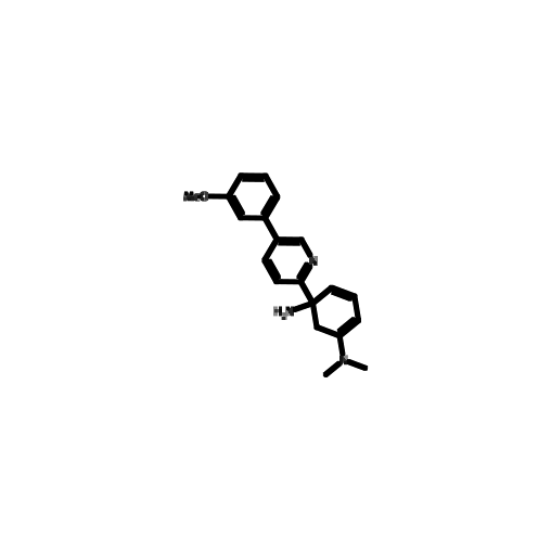 COc1cccc(-c2ccc(C3(N)C=CC=C(N(C)C)C3)nc2)c1